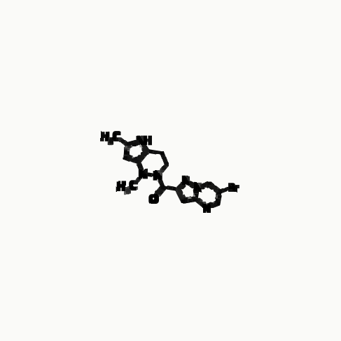 Cc1cc2c([nH]1)CCN(C(=O)c1cc3ncc(Br)cn3n1)N2C